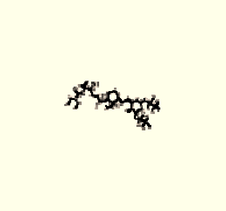 C=C1C(=CC=C2CCC[C@]3(C)[C@@H]([C@H](C)C=CC(O)C4(OC(=O)N(CC)CC)CC4)CC[C@@H]23)CC(O[Si](C)(C)C(C)(C)C)CC1O[Si](C)(C)C(C)(C)C